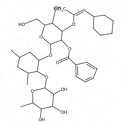 CCOC(=O)/C(=C/C1CCCCC1)OC1C(O)C(CO)OC(OC2CC(C)CC(C)C2OC2OC(C)C(O)C(O)C2O)C1OC(=O)c1ccccc1